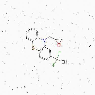 CC(F)(F)c1ccc2c(c1)N(CC1CO1)c1ccccc1S2